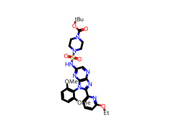 CCOc1cccc(-c2nc3ncc(NS(=O)(=O)N4CCN(C(=O)OC(C)(C)C)CC4)nc3n2-c2c(OC)cccc2OC)n1